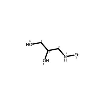 CCNCC(O)CO